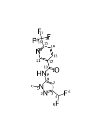 Cn1nc(C(F)F)cc1NC(=O)c1ccc(C(F)(F)F)nc1